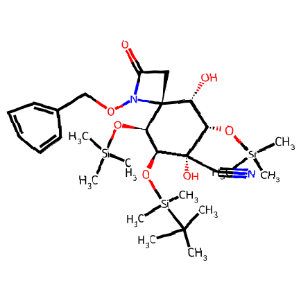 CC(C)(C)[Si](C)(C)O[C@H]1[C@@H](O[Si](C)(C)C)[C@@]2(CC(=O)N2OCc2ccccc2)[C@H](O)[C@H](O[Si](C)(C)C)[C@@]1(O)C#N